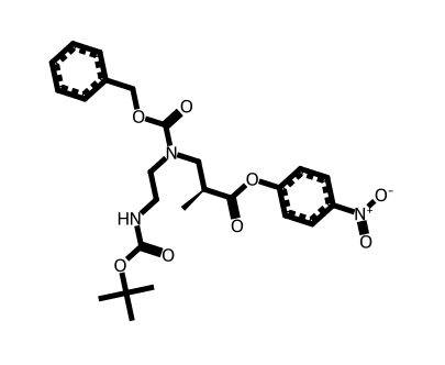 C[C@@H](CN(CCNC(=O)OC(C)(C)C)C(=O)OCc1ccccc1)C(=O)Oc1ccc([N+](=O)[O-])cc1